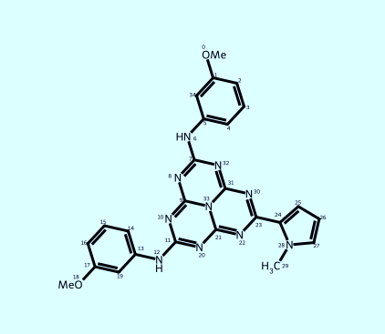 COc1cccc(NC2=NC3=NC(Nc4cccc(OC)c4)=NC4=NC(c5cccn5C)=NC(=N2)N34)c1